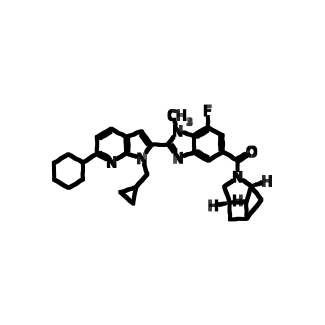 Cn1c(-c2cc3ccc(C4CCCCC4)nc3n2CC2CC2)nc2cc(C(=O)N3C[C@H]4CC5C[C@@H]3[C@H]54)cc(F)c21